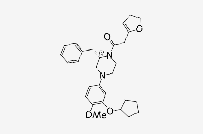 COc1ccc(N2CCN(C(=O)CC3=CCCO3)[C@@H](Cc3ccccc3)C2)cc1OC1CCCC1